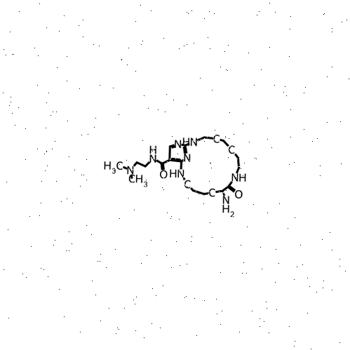 CN(C)CCNC(=O)c1cnc2nc1NCCCC[C@H](N)C(=O)NCCCCCCN2